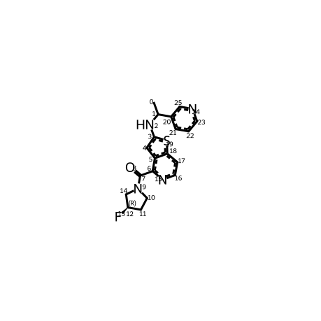 CC(Nc1cc2c(C(=O)N3CC[C@@H](F)C3)nccc2s1)c1cccnc1